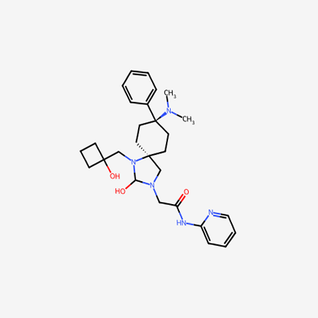 CN(C)[C@]1(c2ccccc2)CC[C@]2(CC1)CN(CC(=O)Nc1ccccn1)C(O)N2CC1(O)CCC1